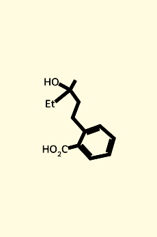 CCC(C)(O)CCc1ccccc1C(=O)O